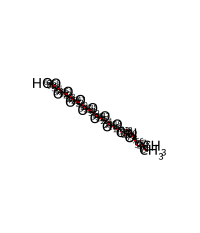 CN(C)c1ccc(C=Cc2nc3ccc(OCCC(=O)CCC(=O)CCC(=O)CCC(=O)CCC(=O)CCC(=O)CCC(=O)CCC(=O)CCC(=O)CCC(=O)CCC(=O)CCO)cc3o2)cc1